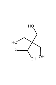 [2H]C(O)C(CO)(CO)CO